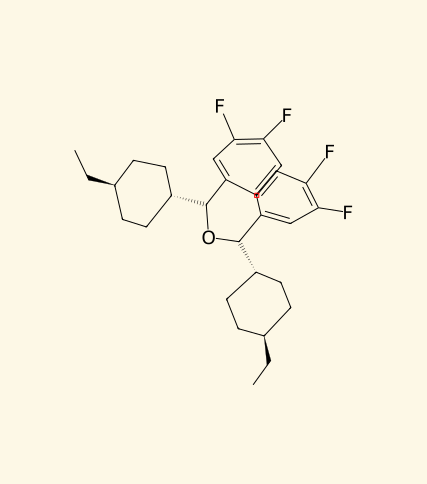 CC[C@H]1CC[C@H](C(OC(c2ccc(F)c(F)c2)[C@H]2CC[C@H](CC)CC2)c2ccc(F)c(F)c2)CC1